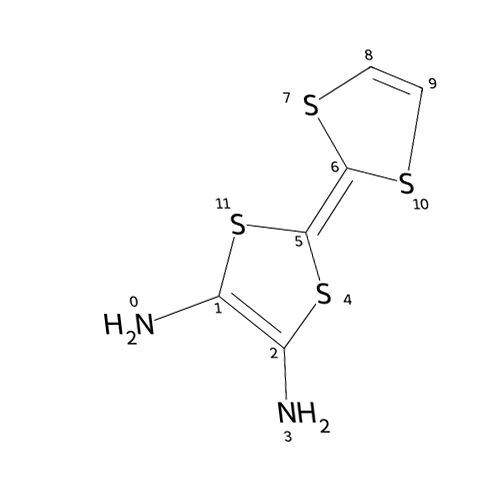 NC1=C(N)SC(=C2SC=CS2)S1